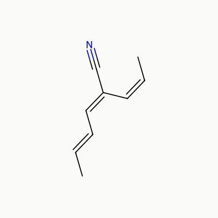 C\C=C/C(C#N)=C\C=C\C